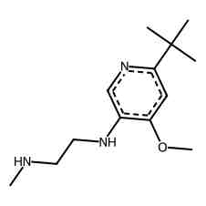 CNCCNc1cnc(C(C)(C)C)cc1OC